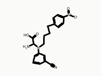 N#Cc1cccc(N(CCCCc2ccc([N+](=O)[O-])cc2)C(N)C(=O)O)c1